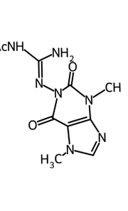 CC(=O)NC(N)=Nn1c(=O)c2c(ncn2C)n(C)c1=O